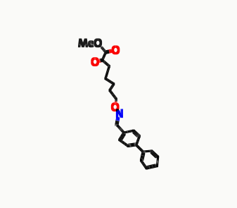 COC(=O)C(=O)CCCCCON=Cc1ccc(-c2ccccc2)cc1